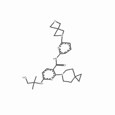 CC(C)(CO)Nc1ccc(C(=O)Nc2cccc(N3CC4(COC4)C3)n2)c(N2CCC3(CC2)CC3)n1